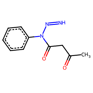 CC(=O)CC(=O)N(N=N)c1ccccc1